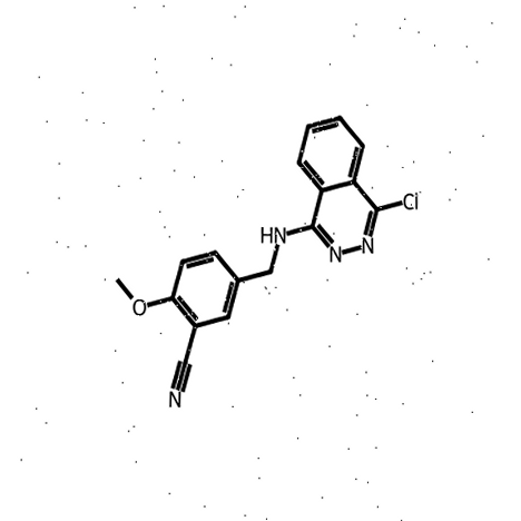 COc1ccc(CNc2nnc(Cl)c3ccccc23)cc1C#N